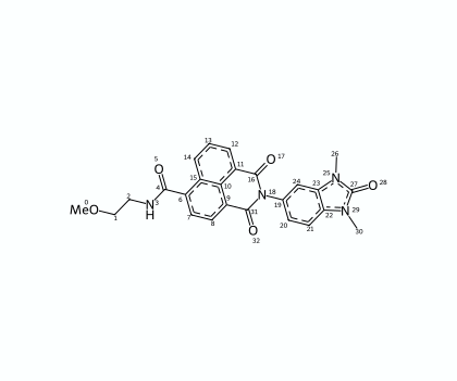 COCCNC(=O)c1ccc2c3c(cccc13)C(=O)N(c1ccc3c(c1)n(C)c(=O)n3C)C2=O